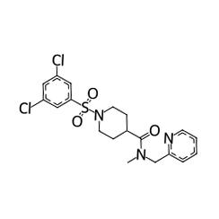 CN(Cc1ccccn1)C(=O)C1CCN(S(=O)(=O)c2cc(Cl)cc(Cl)c2)CC1